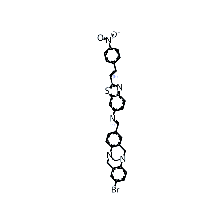 O=[N+]([O-])c1ccc(/C=C/c2nc3ccc(/N=C/c4ccc5c(c4)CN4CN5Cc5cc(Br)ccc54)cc3s2)cc1